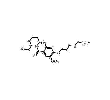 COc1cc(C(=O)N2CCCCC2CO)c(N)cc1OCCCCCC(=O)O